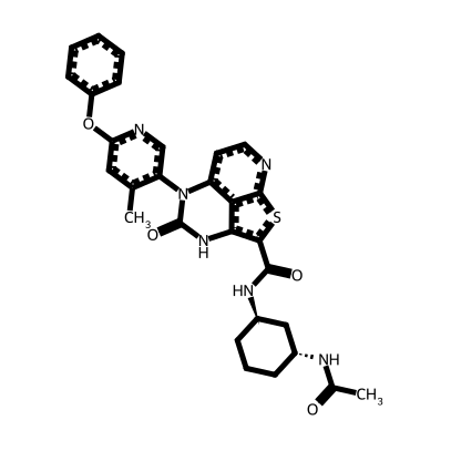 CC(=O)N[C@@H]1CCC[C@@H](NC(=O)c2sc3nccc4c3c2NC(=O)N4c2cnc(Oc3ccccc3)cc2C)C1